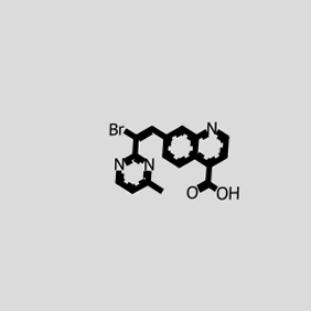 Cc1ccnc(/C(Br)=C\c2ccc3c(C(=O)O)ccnc3c2)n1